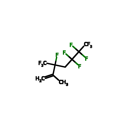 C=C(C)C(F)(CC(F)(F)C(F)(F)C(F)(F)F)C(F)(F)F